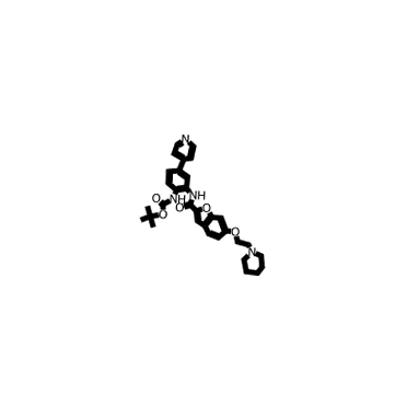 CC(C)(C)OC(=O)Nc1ccc(-c2ccncc2)cc1NC(=O)c1cc2ccc(OCCN3CCCCC3)cc2o1